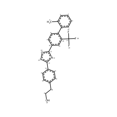 Cc1ccccc1-c1ccc(-c2nc(-c3ccc(CCO)cc3)no2)cc1C(F)(F)F